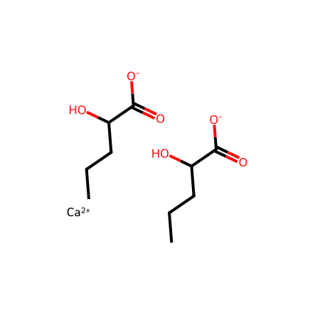 CCCC(O)C(=O)[O-].CCCC(O)C(=O)[O-].[Ca+2]